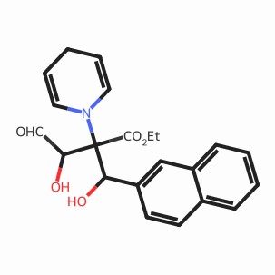 CCOC(=O)C(C(O)C=O)(C(O)c1ccc2ccccc2c1)N1C=CCC=C1